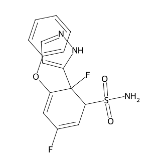 NS(=O)(=O)C1C=C(F)C=C(Oc2ccccc2)C1(F)c1ccn[nH]1